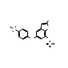 CS(=O)(=O)Oc1cc(Oc2ccc(S(C)(=O)=O)cc2)cc2cc(C(=O)O)[nH]c12